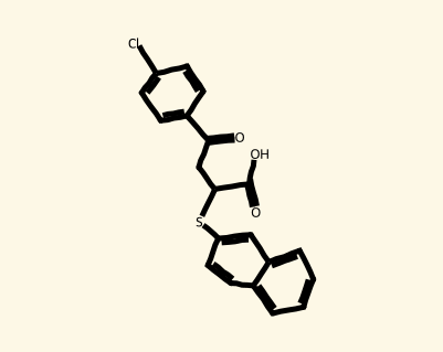 O=C(CC(Sc1ccc2ccccc2c1)C(=O)O)c1ccc(Cl)cc1